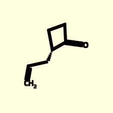 C=CC[C@@H]1CCC1=O